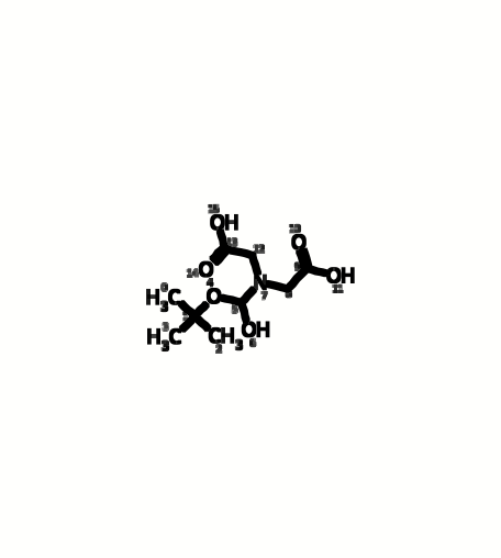 CC(C)(C)OC(O)N(CC(=O)O)CC(=O)O